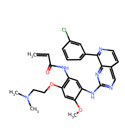 C=CC(=O)Nc1cc(Nc2ncc3ccnc(-c4cccc(Cl)c4)c3n2)c(OC)cc1OCCN(C)C